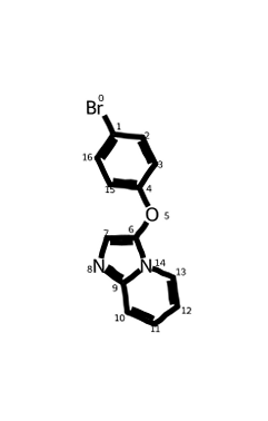 Brc1ccc(Oc2cnc3ccccn23)cc1